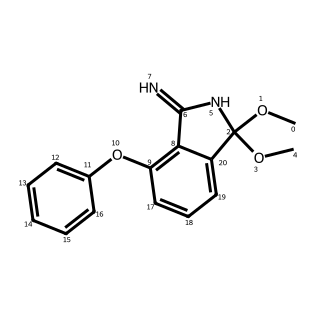 COC1(OC)NC(=N)c2c(Oc3ccccc3)cccc21